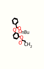 C=CC(=O)Oc1cccc(OC(=O)c2ccccc2)c1OCCCC